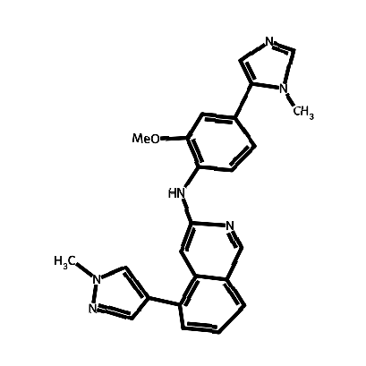 COc1cc(-c2cncn2C)ccc1Nc1cc2c(-c3cnn(C)c3)cccc2cn1